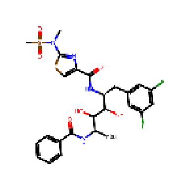 CCCCC(NC(=O)c1ccccc1)C(O)[C@H](O)[C@H](Cc1cc(F)cc(F)c1)NC(=O)c1csc(N(C)S(C)(=O)=O)n1